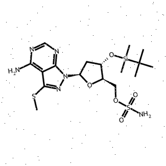 CSc1nn([C@H]2C[C@H](O[Si](C)(C)C(C)(C)C)[C@@H](COS(N)(=O)=O)O2)c2ncnc(N)c12